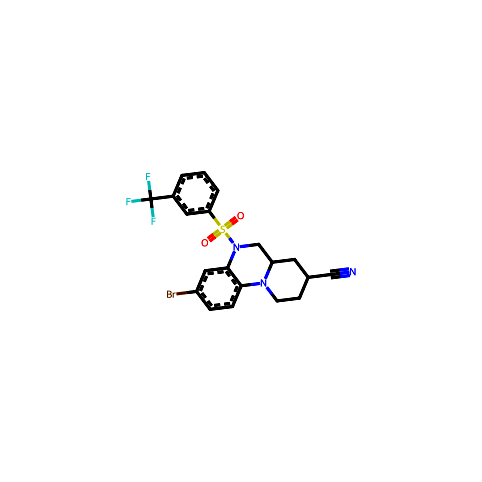 N#CC1CCN2c3ccc(Br)cc3N(S(=O)(=O)c3cccc(C(F)(F)F)c3)CC2C1